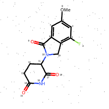 COc1cc(F)c2c(c1)C(=O)N(C1CCC(=O)NC1=O)C2